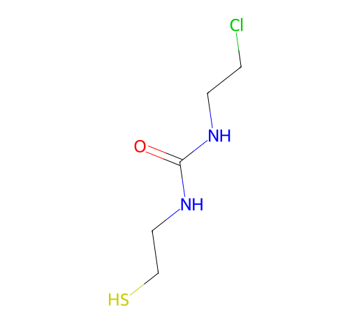 O=C(NCCS)NCCCl